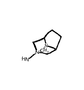 CN1C2CCC1CN([NH])C2